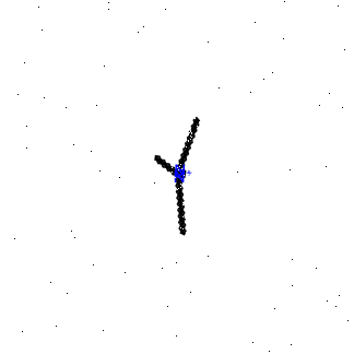 CCCCCCCCCCCCCCCCCCC[n+]1ccn(CCCCCCCCCCCCCCCCCC)c1CCCCCCCCC